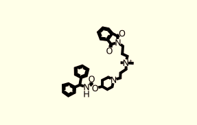 C[N+](C)(CCCN1CCC(OC(=O)NC(c2ccccc2)c2ccccc2)CC1)CCCN1C(=O)c2ccccc2C1=O